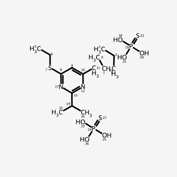 CC.CCC.CCSc1cc(C)nc(C(C)C)n1.OP(O)(O)=S.OP(O)(O)=S